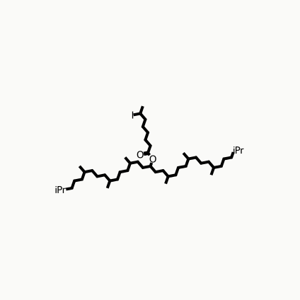 CC(C)CCCC(C)CCCC(C)CCCC(C)CCC(CCC(C)CCCC(C)CCCC(C)CCCC(C)C)OC(=O)CCCCCC(C)I